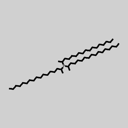 CCCCCCCCCCCCCCCC(C)P(C(C)CCCCCCCCCCCCCCC)C(C)CCCCCCCCCCCCCCC